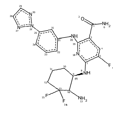 NC(=O)c1cc(F)c(N[C@@H]2CCCC(F)(F)C2N)nc1Nc1cccc(-n2nccn2)c1